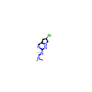 CN(C)/C=N/c1ncc2cc(Br)cn2n1